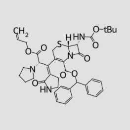 C=CCOC(=O)[C@H](C(=C1CCNC1=O)C1=C(C(=O)OC(c2ccccc2)c2ccccc2)N2C(=O)[C@@H](NC(=O)OC(C)(C)C)[C@H]2SC1)N1CCCC1